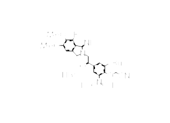 Br.COc1cc2c(c(F)c1OC)C(=N)N(CC(=O)c1cc(N(C)C)c(OCC#N)c(C(C)(C)C)c1)C2